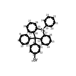 Brc1ccc(C2(c3ccccc3)c3ccccc3N(c3ccccc3)c3ccccc32)cc1